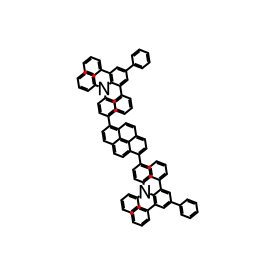 c1ccc(-c2cc(-c3ccccc3)c(N(c3ccccc3)c3ccc(-c4ccc5ccc6c(-c7ccc(N(c8ccccc8)c8c(-c9ccccc9)cc(-c9ccccc9)cc8-c8ccccc8)cc7)ccc7ccc4c5c76)cc3)c(-c3ccccc3)c2)cc1